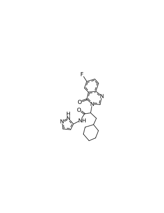 O=C(Nc1ccn[nH]1)C(CC1CCCCC1)n1cnc2ccc(F)cc2c1=O